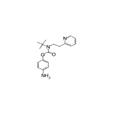 CC(C)(C)N(CCc1ccccn1)C(=O)Oc1ccc(N)cc1